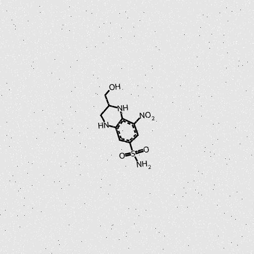 NS(=O)(=O)c1cc2c(c([N+](=O)[O-])c1)NC(CO)CN2